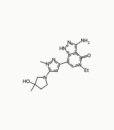 CCn1cc(-c2cc(N3CCC(C)(O)C3)n(C)n2)c2[nH]nc(N)c2c1=O